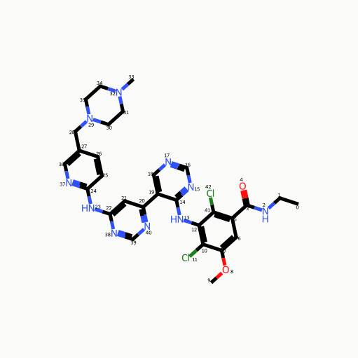 CCNC(=O)c1cc(OC)c(Cl)c(Nc2ncncc2-c2cc(Nc3ccc(CN4CCN(C)CC4)cn3)ncn2)c1Cl